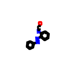 O=C=Nc1ccccc1N=Nc1ccccc1